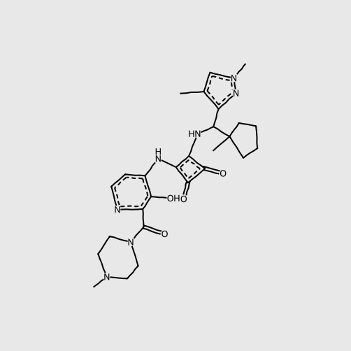 Cc1cn(C)nc1C(Nc1c(Nc2ccnc(C(=O)N3CCN(C)CC3)c2O)c(=O)c1=O)C1(C)CCCC1